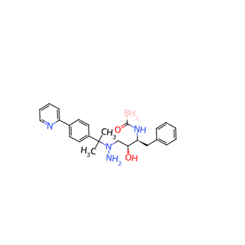 BC(=O)N[C@@H](Cc1ccccc1)[C@@H](O)CN(N)C(C)(C)c1ccc(-c2ccccn2)cc1